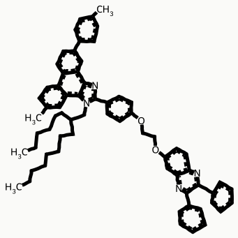 CCCCCCCCC(CCCCCC)Cn1c(-c2ccc(OCCOc3ccc4nc(-c5ccccc5)c(-c5ccccc5)nc4c3)cc2)nc2c3cc(-c4ccc(C)cc4)ccc3c3ccc(C)cc3c21